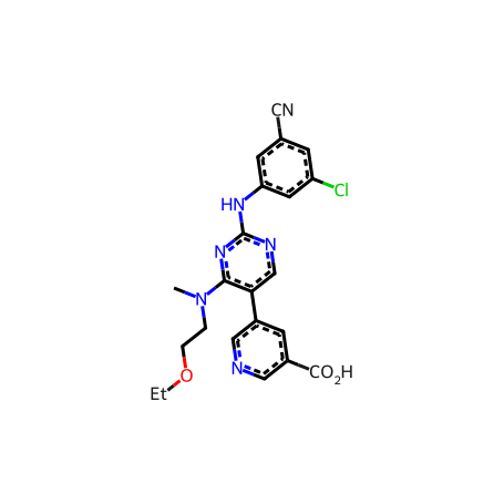 CCOCCN(C)c1nc(Nc2cc(Cl)cc(C#N)c2)ncc1-c1cncc(C(=O)O)c1